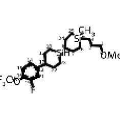 COCCC[Si@]1(C)CC[C@@H]([SiH]2CCC(c3ccc(OC(F)(F)F)c(F)c3)CC2)CC1